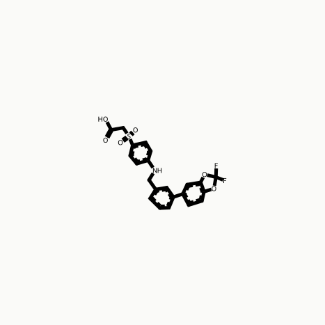 O=C(O)CS(=O)(=O)c1ccc(NCc2cccc(-c3ccc4c(c3)OC(F)(F)O4)c2)cc1